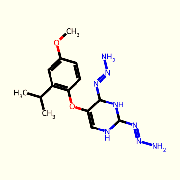 COc1ccc(OC2=CNC(N=NN)NC2N=NN)c(C(C)C)c1